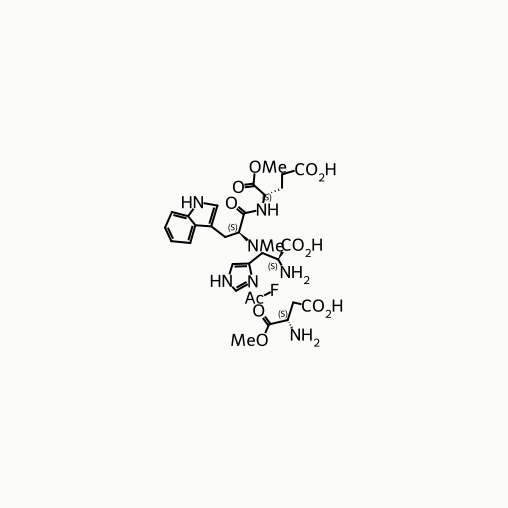 CC(=O)F.CN[C@@H](Cc1c[nH]c2ccccc12)C(=O)N[C@@H](CCC(=O)O)C(=O)OC.COC(=O)[C@@H](N)CC(=O)O.N[C@@H](Cc1c[nH]cn1)C(=O)O